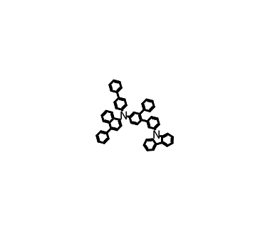 c1ccc(-c2ccc(N(c3ccc(-c4cccc(-n5c6ccccc6c6ccccc65)c4)c(-c4ccccc4)c3)c3ccc(-c4ccccc4)c4ccccc34)cc2)cc1